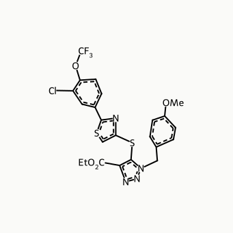 CCOC(=O)c1nnn(Cc2ccc(OC)cc2)c1Sc1csc(-c2ccc(OC(F)(F)F)c(Cl)c2)n1